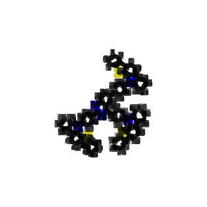 c1ccc2c(c1)sc1c2ccc2c3ccccc3n(-c3ccc(-c4ccc5nc(-c6ccc(-n7c8ccccc8c8ccc9c%10ccccc%10sc9c87)cc6)nc(-c6ccc(-n7c8ccccc8c8ccc9c%10ccccc%10sc9c87)cc6)c5c4)cc3)c21